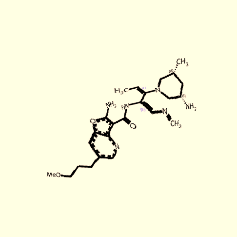 C=N/C=C(NC(=O)c1c(N)oc2cc(CCCOC)cnc12)\C(=C/C)N1C[C@H](C)C[C@H](N)C1